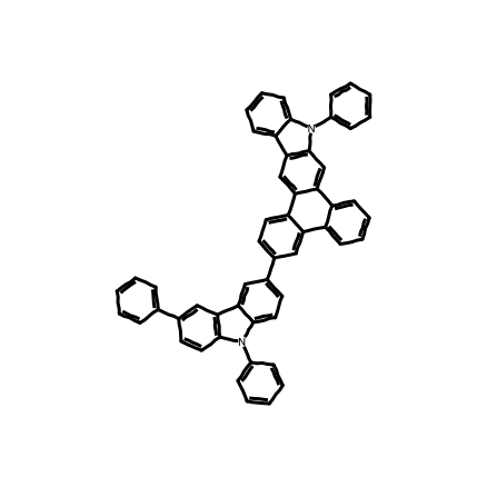 c1ccc(-c2ccc3c(c2)c2cc(-c4ccc5c(c4)c4ccccc4c4cc6c(cc54)c4ccccc4n6-c4ccccc4)ccc2n3-c2ccccc2)cc1